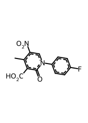 Cc1c([N+](=O)[O-])cn(-c2ccc(F)cc2)c(=O)c1C(=O)O